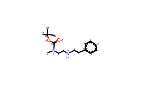 CN(CCNCCc1ccccc1)C(=O)OC(C)(C)C